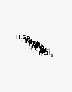 C=CC(=O)N[C@H]1C[C@@H](CNC2=CC=C(N3CCC(NC(C)C(F)(F)F)CC3)[C@]2(C#N)CC)C1